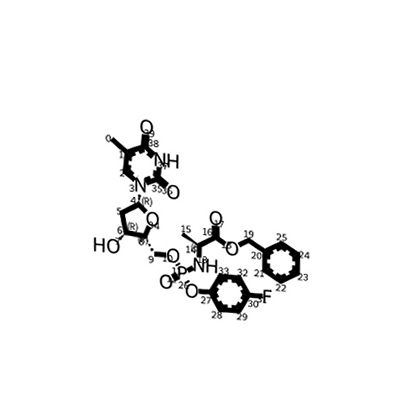 Cc1cn([C@H]2C[C@@H](O)[C@@H](COP(=O)(N[C@@H](C)C(=O)OCc3ccccc3)Oc3ccc(F)cc3)O2)c(=O)[nH]c1=O